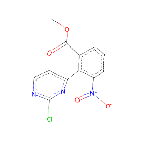 COC(=O)c1cccc([N+](=O)[O-])c1-c1ccnc(Cl)n1